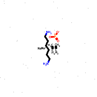 C=C.C=C.NCCCCCCN.O=[PH]([O-])[O-].[Na+].[Na+]